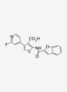 O=C(Nc1scc(-c2ccnc(F)c2)c1C(=O)O)c1cc2ccccc2o1